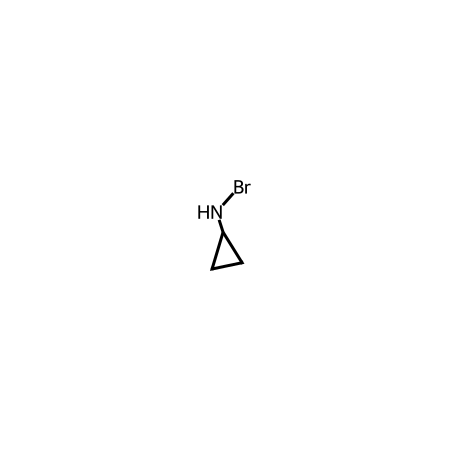 BrNC1CC1